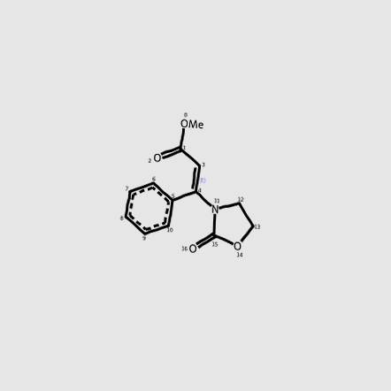 COC(=O)/C=C(\c1ccccc1)N1CCOC1=O